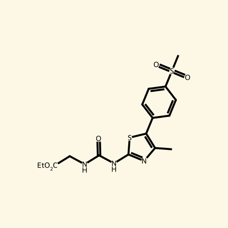 CCOC(=O)CNC(=O)Nc1nc(C)c(-c2ccc(S(C)(=O)=O)cc2)s1